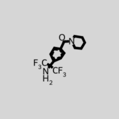 NC(c1ccc(C(=O)N2CCCCC2)cc1)(C(F)(F)F)C(F)(F)F